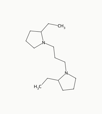 CCC1CCCN1CCCN1CCCC1CC